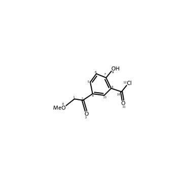 COCC(=O)c1ccc(O)c(C(=O)Cl)c1